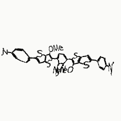 COc1c(-c2ccc(-c3sc4cc(-c5ccc(N(C)C)cc5)sc4c3OC)c3nsnc23)sc2cc(-c3ccc(N(C)C)cc3)sc12